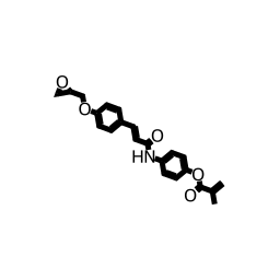 C=C(C)C(=O)Oc1ccc(NC(=O)/C=C/c2ccc(OCC3CO3)cc2)cc1